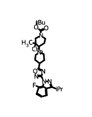 CC(C)c1nn(-c2noc(C3CCN(C4CCN(C(=O)OC(C)(C)C)CC4(C)C)CC3)n2)c2c(F)cccc12